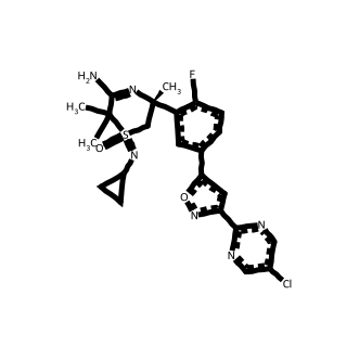 CC1(C)C(N)=N[C@](C)(c2cc(-c3cc(-c4ncc(Cl)cn4)no3)ccc2F)CS1(=O)=NC1CC1